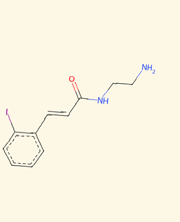 NCCNC(=O)/C=C/c1ccccc1I